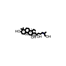 C/C(=C/CC[C@](C)(O)[C@H]1CC[C@@]2(C)[C@@H]1[C@H](O)C[C@@H]1[C@@]3(C)CC[C@H](O)C(C)(C)C3CC[C@]12C)CO